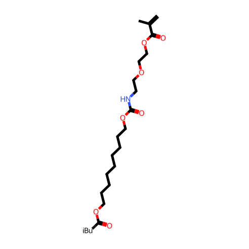 C=C(C)C(=O)OCCOCCNC(=O)OCCCCCCCCCOC(=O)C(C)CC